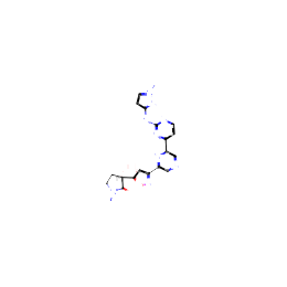 CN1CC[C@@](O)(c2cc(-c3cncc(-c4ccnc(Nc5ccn(C)n5)n4)n3)no2)C1=O